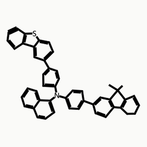 CC1(C)C2=C(CCC=C2)c2ccc(-c3ccc(N(c4ccc(-c5ccc6sc7c#cccc7c6c5)cc4)c4cccc5ccccc45)cc3)cc21